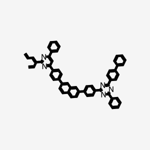 C=C/C=C(\C=C)c1nc(-c2ccccc2)cc(-c2ccc(-c3ccc4ccc(-c5ccc(-c6nc(-c7ccccc7)nc(-c7ccc(-c8ccccc8)cc7)n6)cc5)cc4c3)cc2)n1